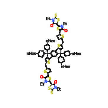 CCCCCCc1ccc(C2(c3ccc(CCCCCC)cc3)c3cc4c(cc3-c3sc(/C=c5\cc/c(=c6\s/c(=C7/SC(=S)N(CC)C7=O)n(CC)c6=O)s5)cc32)C(c2ccc(CCCCCC)cc2)(c2ccc(CCCCCC)cc2)c2cc(/C=c3\cc/c(=c5\s/c(=C6/SC(=S)N(CC)C6=O)n(CC)c5=O)s3)sc2-4)cc1